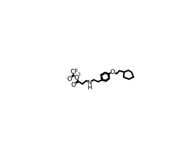 O=C(CCNCCc1ccc(OCCC2CCCCC2)cc1)OC(=O)C(F)(F)F